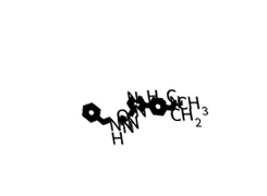 C=C(c1ccc(-c2cncc(-c3nnc(NCCc4ccccc4)o3)n2)cc1)N(C)C